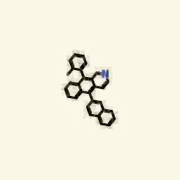 Cc1ccccc1-c1c2ccccc2c(-c2ccc3ccccc3c2)c2ccncc12